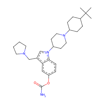 CC(C)(C)C1CCC(N2CCC(n3cc(CN4CCCC4)c4cc(OC(N)=O)ccc43)CC2)CC1